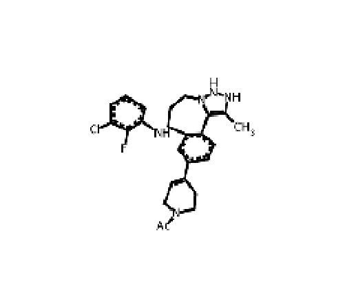 CC(=O)N1CC=C(c2ccc3c(c2)C(Nc2cccc(Cl)c2F)CCN2NNC(C)=C32)CC1